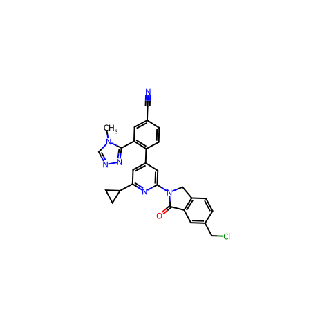 Cn1cnnc1-c1cc(C#N)ccc1-c1cc(C2CC2)nc(N2Cc3ccc(CCl)cc3C2=O)c1